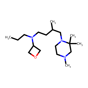 CCCN(CCC(C)CN1CCN(C)CC1(C)C)C1COC1